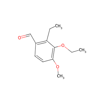 CCOc1c(OC)ccc(C=O)c1CC